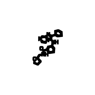 O=C(NCC1CCCO1)c1cccc(Nc2c(-c3ccccc3)nc3cnccn23)c1